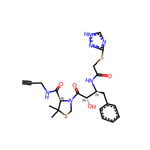 C#CCNC(=O)[C@H]1N(C(=O)[C@@H](O)[C@H](Cc2ccccc2)NC(=O)CSc2nc[nH]n2)CSC1(C)C